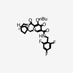 CCCCOc1c2n(cc(C(=O)NCc3c(F)cc(F)cc3F)c1=O)C[C@]13CC[C@H](CN1C2=O)C3